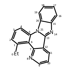 CCc1cccc2c1c1ncccc1c1nc3ccccc3n21